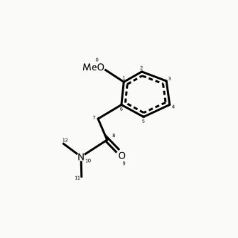 COc1ccccc1CC(=O)N(C)C